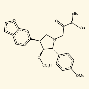 CCCCN(CCCC)C(=O)CN1C[C@H](c2ccc3ccoc3c2)[C@H](OC(=O)O)[C@H]1c1ccc(OC)cc1